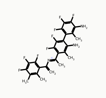 C=C(/N=C(\C)c1c(C)c(N)c(-c2c(C)c(N)c(F)c(F)c2F)c(F)c1F)c1c(C)c(C)c(F)c(F)c1F